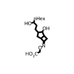 CCCCCCC(O)CCC1CC2C(=NOCC(=O)O)CC2C1O